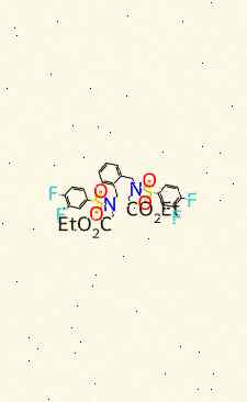 CCOC(=O)CN(Cc1ccccc1CN(CC(=O)OCC)S(=O)(=O)c1ccc(F)c(F)c1)S(=O)(=O)c1ccc(F)c(F)c1